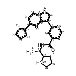 C[C@@H](NC(=O)c1ccnc(-c2cnn3ccc(-c4cccs4)nc23)c1)C1CCCN1